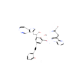 COc1ccccc1C#Cc1cc(C(N)=O)c(OC(C)C)c(C(CO)Cc2c[nH]c3ccncc23)c1.NC(CO)Cc1c[nH]c2cccnc12